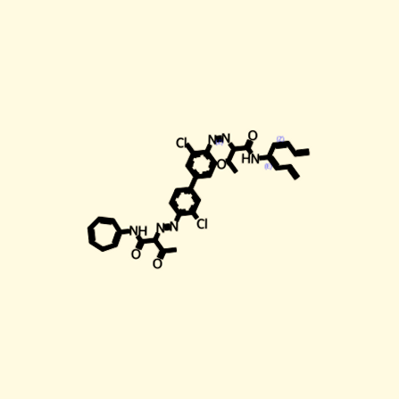 C=C/C=C\C(=C/C=C)NC(=O)C(/N=N\c1ccc(-c2ccc(N=NC(C(C)=O)C(=O)NC3=CCC=CC=C3)c(Cl)c2)cc1Cl)C(C)=O